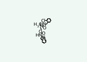 CN(CCOC(=O)Nc1cc2ccccn2n1)C(=O)NCc1ccccc1Cl